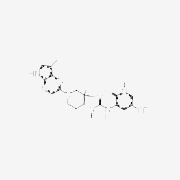 Cc1c[nH]c2ncc(N3CC[C@@H](N(C)C(=O)Nc4cc(C(F)(F)F)cn(C)c4=O)C(F)(F)C3)nc12